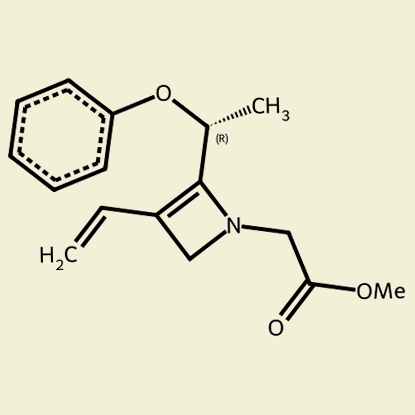 C=CC1=C([C@@H](C)Oc2ccccc2)N(CC(=O)OC)C1